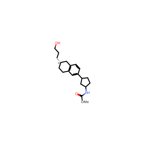 COC(=O)NC1CCC(c2ccc3c(c2)CC[C@H](CCCO)C3)C1